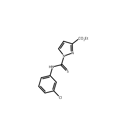 CCOC(=O)c1ccn(C(=S)Nc2cccc(Cl)c2)n1